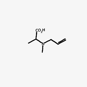 C=CCN(C)C(C)C(=O)O